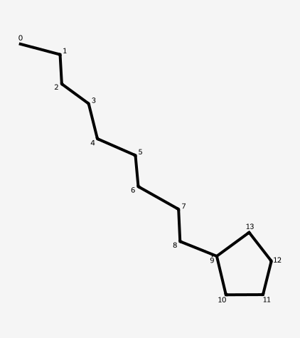 CCCCCCCCC[C]1CCCC1